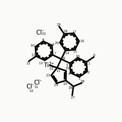 Cc1cccc(C(c2cccc(C)c2)(c2cccc(C)c2)[C]2([Ti+3])C=CC(C(C)C)=C2)c1.[Cl-].[Cl-].[Cl-]